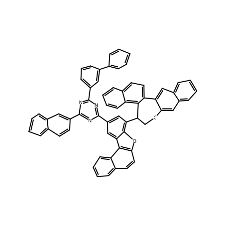 c1ccc(-c2cccc(-c3nc(-c4ccc5ccccc5c4)nc(-c4cc(C5CCc6cc7ccccc7cc6-c6ccc7ccccc7c65)c5oc6ccc7ccccc7c6c5c4)n3)c2)cc1